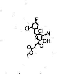 CCOC(=O)CCC(=O)c1nc(Cc2c(Cl)cc(F)cc2Cl)cc(C#N)c1O